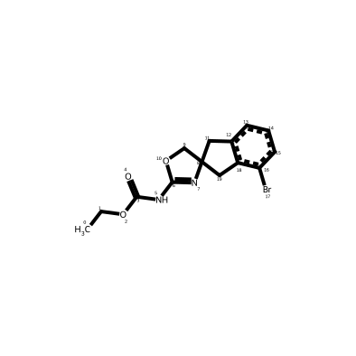 CCOC(=O)NC1=NC2(CO1)Cc1cccc(Br)c1C2